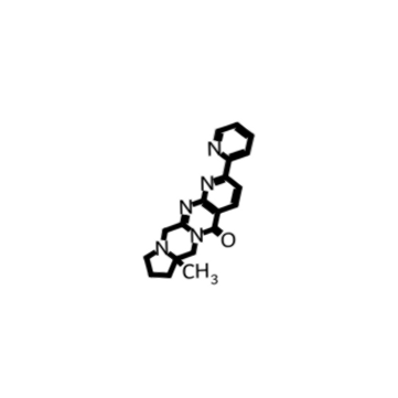 CC12CCCN1Cc1nc3nc(-c4ccccn4)ccc3c(=O)n1C2